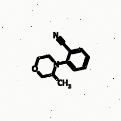 CC1COCCN1c1ccccc1C#N